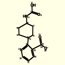 O=C(O)NC1CCN(c2ncccc2[N+](=O)[O-])CC1